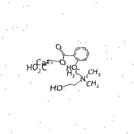 C[N+](C)(C)CCO.O=C(O)COC(=O)c1ccccc1O.[Ca+2]